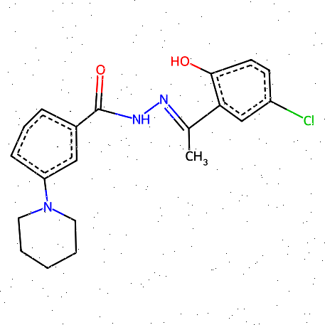 C/C(=N\NC(=O)c1cccc(N2CCCCC2)c1)c1cc(Cl)ccc1O